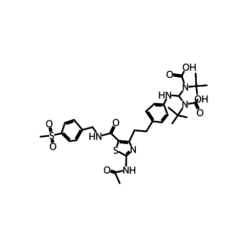 CC(=O)Nc1nc(CCc2ccc(NC(N(C(=O)O)C(C)(C)C)N(C(=O)O)C(C)(C)C)cc2)c(C(=O)NCc2ccc(S(C)(=O)=O)cc2)s1